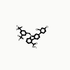 NC(=O)c1cccc2c1c1[c]cc(-c3ccc(Cl)cc3Cl)cc1n2Cc1cc(C(F)(F)F)cc(C(F)(F)F)c1